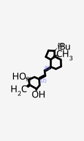 C=C1C(O)C/C(=C/C=C2\CCC[C@@]3(C)C2CCC3[C@@H](C)CC)C[C@H]1O